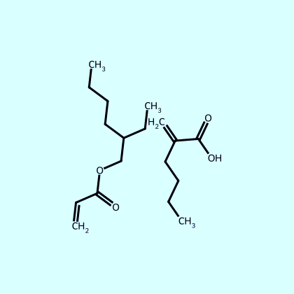 C=C(CCCC)C(=O)O.C=CC(=O)OCC(CC)CCCC